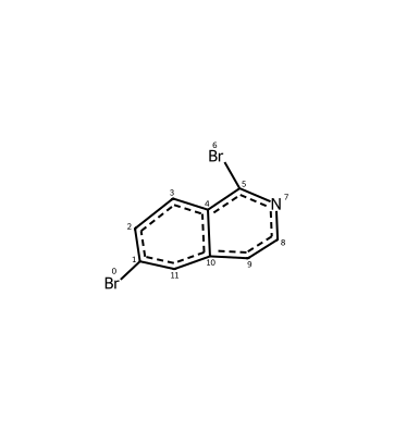 Brc1ccc2c(Br)nccc2c1